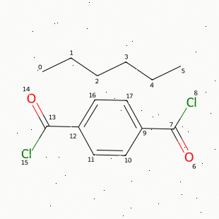 CCCCCC.O=C(Cl)c1ccc(C(=O)Cl)cc1